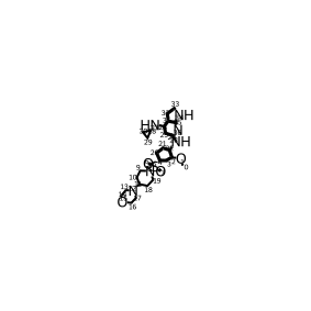 COc1cc(S(=O)(=O)N2CCC(N3CCOCC3)CC2)ccc1Nc1cc(NC2CC2)c2cc[nH]c2n1